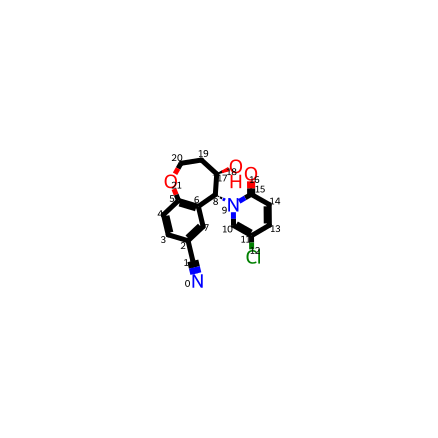 N#Cc1ccc2c(c1)[C@@H](n1cc(Cl)ccc1=O)[C@H](O)CCO2